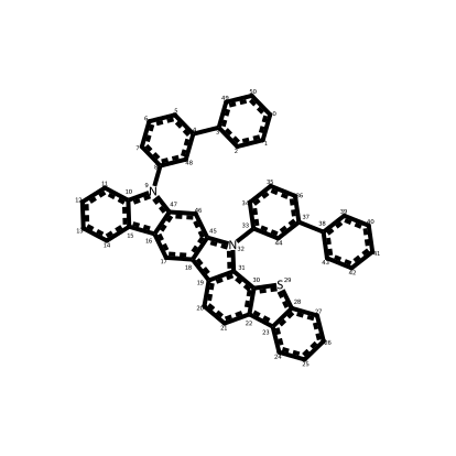 c1ccc(-c2cccc(-n3c4ccccc4c4cc5c6ccc7c8ccccc8sc7c6n(-c6cccc(-c7ccccc7)c6)c5cc43)c2)cc1